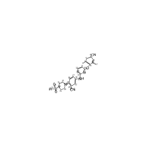 Cc1cc(C#N)cc(C)c1Oc1ccnc(Nc2ccc(N3CCN(S(=O)(=O)C(C)C)CC3)c(C#N)c2)n1